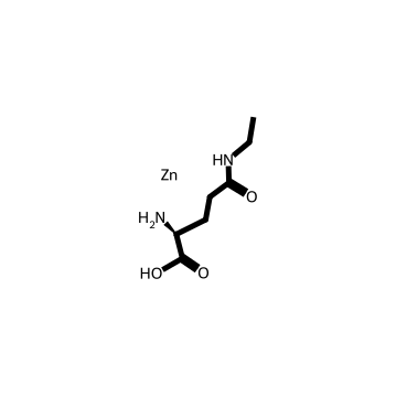 CCNC(=O)CC[C@H](N)C(=O)O.[Zn]